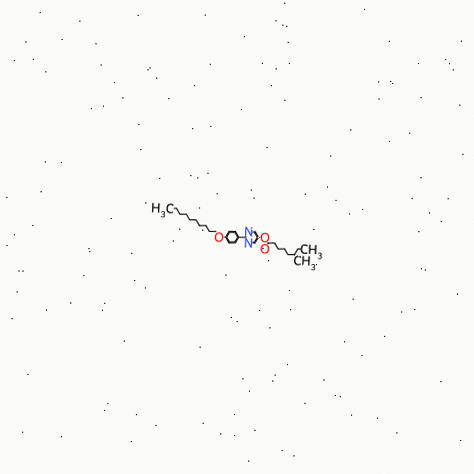 CCCCCCCCCCOc1ccc(-c2ncc(OC(=O)CCCCC(C)CC)cn2)cc1